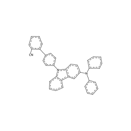 N#Cc1ccccc1-c1ccc(-n2c3ccccc3c3cc(N(c4ccccc4)c4ccccc4)ccc32)cc1